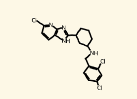 Clc1ccc(CNC2CCCC(c3nc4nc(Cl)ccc4[nH]3)C2)c(Cl)c1